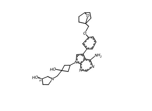 Nc1ncnc2c1c(-c1cccc(OCC34CCC(CC3)O4)c1)cn2C1CC(O)(CN2CC[C@@H](O)C2)C1